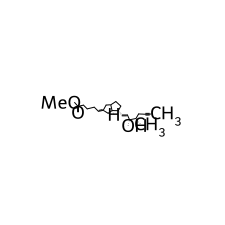 CC#CC[C@H](C)[C@H](O)/C=C/[C@H]1CCC2C/C(=C\CCCC(=O)OC)C[C@@H]21